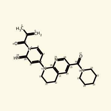 C=C(C)C(=O)n1ccc(N2CCCc3cc(C(=O)N4CCCCC4)cnc32)cc1=N